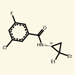 CCC1(CC)C[C@H]1NC(=O)c1cc(F)cc(Cl)c1